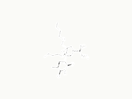 CCCCOC[C@]12CN(C(=N)N)C(C1OCCCC)[C@H](n1cc(C)c(=O)[nH]c1=O)O2